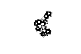 c1ccc(-c2nc(-c3cccc4oc5ccccc5c34)nc(-c3ncc(-c4ccc5ccccc5c4)c4oc5cc6ccccc6cc5c34)n2)cc1